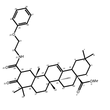 COC(=O)[C@]12CCC(C)(C)CC1C1=CCC3[C@@]4(C)CC(C(=O)NCCOc5ccccc5)C(=O)C(C)(C)C4CC[C@@]3(C)[C@]1(C)CC2